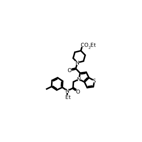 CCOC(=O)C1CCN(C(=O)c2cc3sccc3n2CC(=O)N(CC)c2cccc(C)c2)CC1